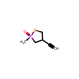 C#CC1CSP(C)(=O)C1